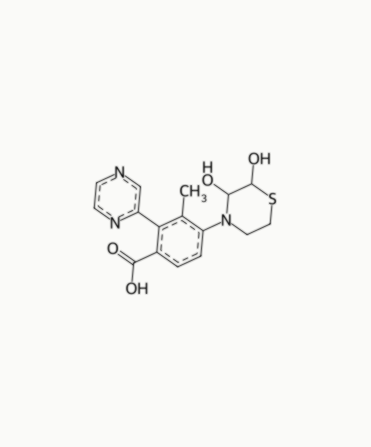 Cc1c(N2CCSC(O)C2O)ccc(C(=O)O)c1-c1cnccn1